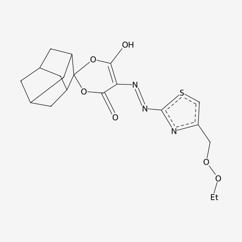 CCOOCc1csc(N=NC2=C(O)OC3(OC2=O)C2CC4CC(C2)CC3C4)n1